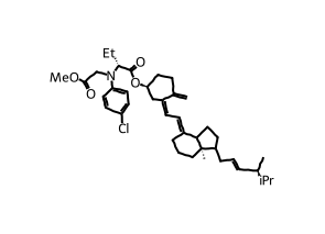 C=C1CC[C@H](OC(=O)[C@@H](CC)N(CC(=O)OC)c2ccc(Cl)cc2)C/C1=C/C=C1\CCC[C@]2(C)C(C/C=C/[C@@H](C)C(C)C)CCC12